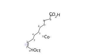 CCCCCCCC/C=C\CCCCCCCC(=O)O.[Co]